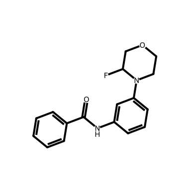 O=C(Nc1cccc(N2CCOCC2F)c1)c1ccccc1